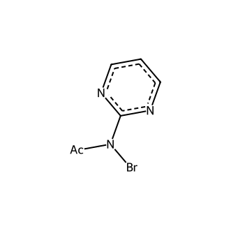 CC(=O)N(Br)c1ncccn1